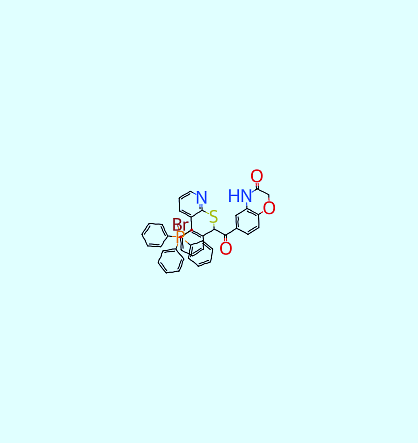 O=C1COc2ccc(C(=O)C(Sc3ncccc3CP(Br)(c3ccccc3)(c3ccccc3)c3ccccc3)c3ccccc3)cc2N1